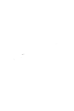 COC=C1CCC([C@H]2CC[C@H](c3cc(F)c(F)c(F)c3)CC2)CC1